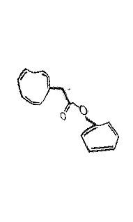 O=C([CH]c1ccccc1)Oc1ccccc1